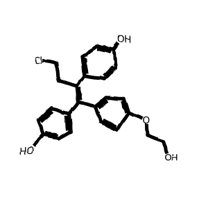 OCCOc1ccc(/C(=C(/CCCl)c2ccc(O)cc2)c2ccc(O)cc2)cc1